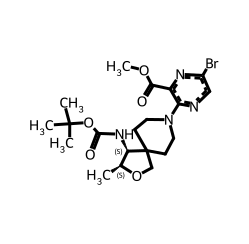 COC(=O)c1nc(Br)cnc1N1CCC2(CC1)CO[C@@H](C)[C@H]2NC(=O)OC(C)(C)C